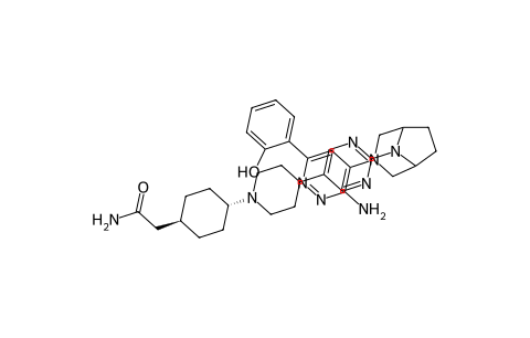 NC(=O)C[C@H]1CC[C@H](N2CCC(c3cnc(N4C5CCC4CN(c4cc(-c6ccccc6O)nnc4N)C5)nc3)CC2)CC1